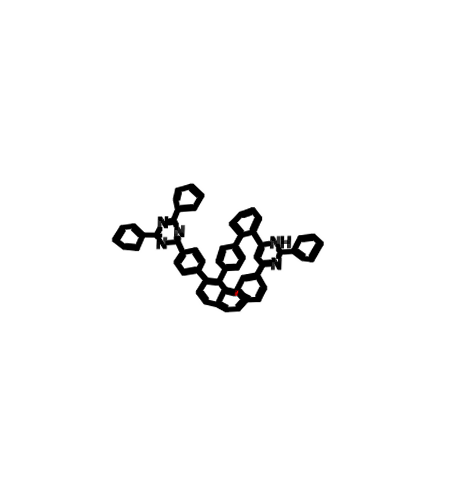 C1=C(c2ccccc2-c2ccc(-c3c(-c4ccc(-c5nc(-c6ccccc6)nc(-c6ccccc6)n5)cc4)ccc4ccccc34)cc2)NC(c2ccccc2)N=C1c1ccccc1